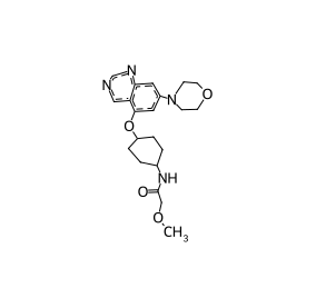 COCC(=O)NC1CCC(Oc2cc(N3CCOCC3)cc3ncncc23)CC1